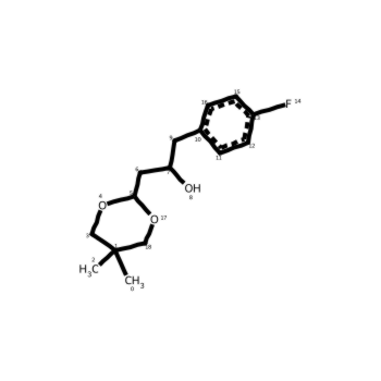 CC1(C)COC(CC(O)Cc2ccc(F)cc2)OC1